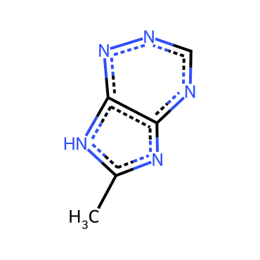 Cc1nc2ncnnc2[nH]1